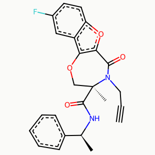 C#CCN1C(=O)c2oc3ccc(F)cc3c2OC[C@]1(C)C(=O)N[C@@H](C)c1ccccc1